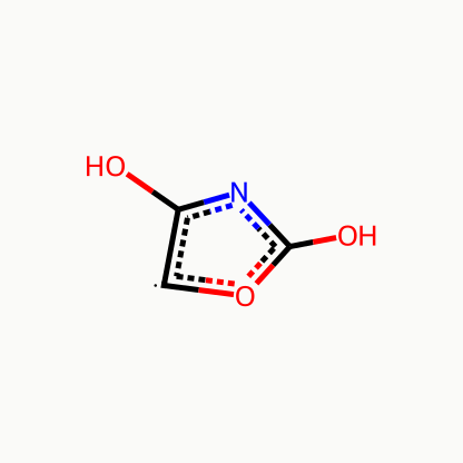 Oc1[c]oc(O)n1